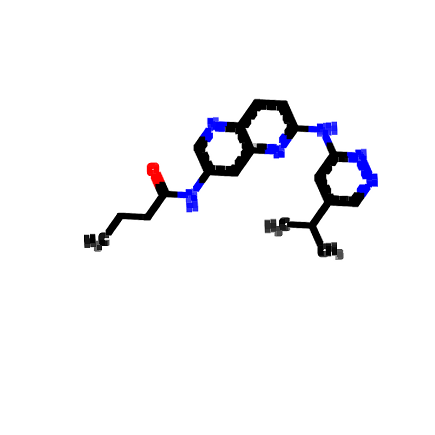 CCCC(=O)Nc1cnc2ccc(Nc3cc(C(C)C)cnn3)nc2c1